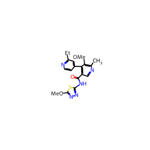 CCc1cc(-c2c(C(=O)Nc3nnc(OC)s3)cnc(C)c2OC)ccn1